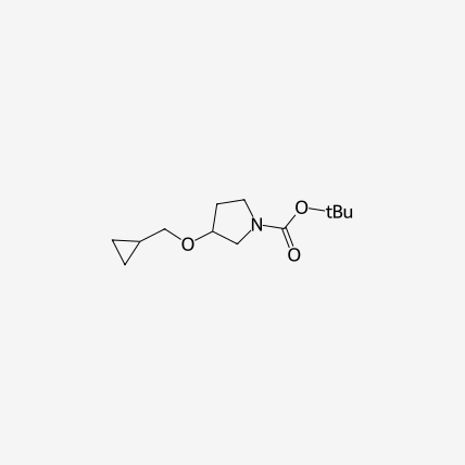 CC(C)(C)OC(=O)N1CCC(OCC2CC2)C1